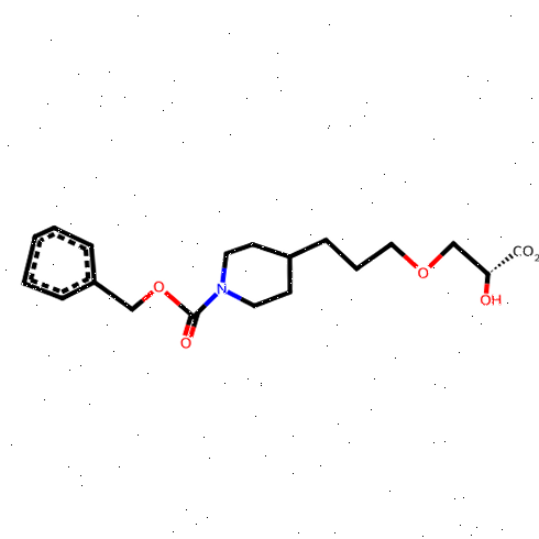 O=C(O)[C@H](O)COCCCC1CCN(C(=O)OCc2ccccc2)CC1